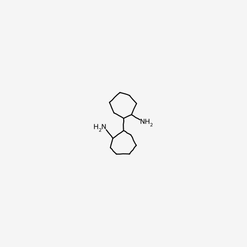 NC1CCCCCC1C1CCCCCC1N